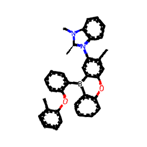 Cc1ccccc1Oc1ccccc1B1c2ccccc2Oc2cc(C)c(N3c4ccccc4N(C)[C@@H]3C)cc21